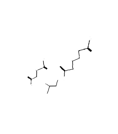 CC(O)CO.O=C(O)CCC(=O)O.O=C(O)CCCCC(=O)O